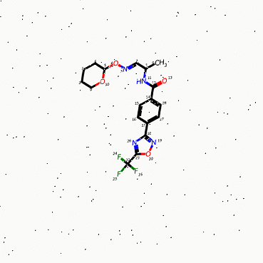 CC(/C=N/OC1CCCCO1)NC(=O)c1ccc(-c2noc(C(F)(F)F)n2)cc1